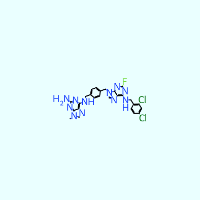 Cn1cnc2c(NCc3ccc(Cn4cnc5c(NCc6ccc(Cl)cc6Cl)nc(F)nc54)cc3)nc(N)nc21